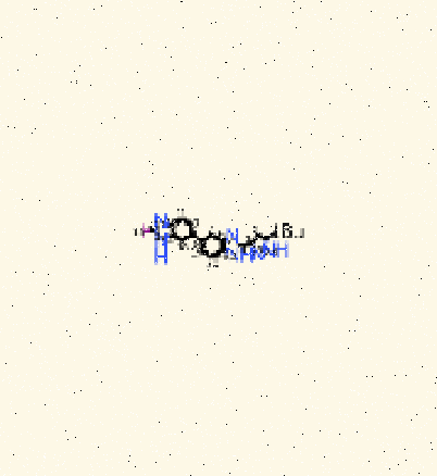 CC(C)(C)c1cc(-c2nc3cc(-c4ccc5nc(I)[nH]c5c4)ccc3[nH]2)n[nH]1